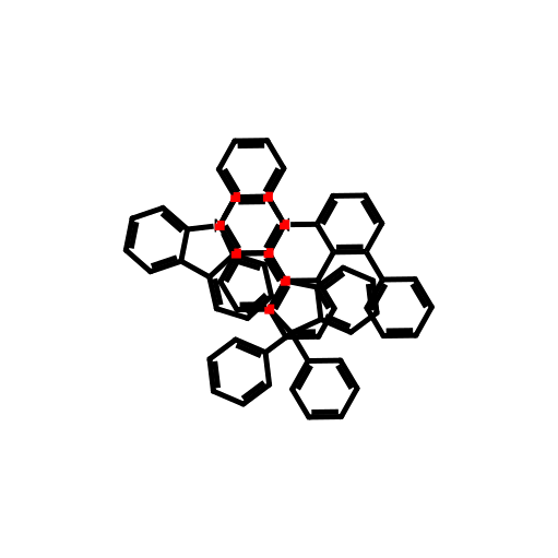 c1ccc(-c2ccccc2-c2c(-c3ccccc3)cccc2N(c2ccccc2-n2c3ccccc3c3ccccc32)c2cccc3c2-c2ccccc2C3(c2ccccc2)c2ccccc2)cc1